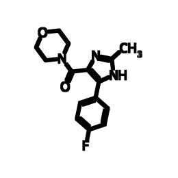 Cc1nc(C(=O)N2CCOCC2)c(-c2ccc(F)cc2)[nH]1